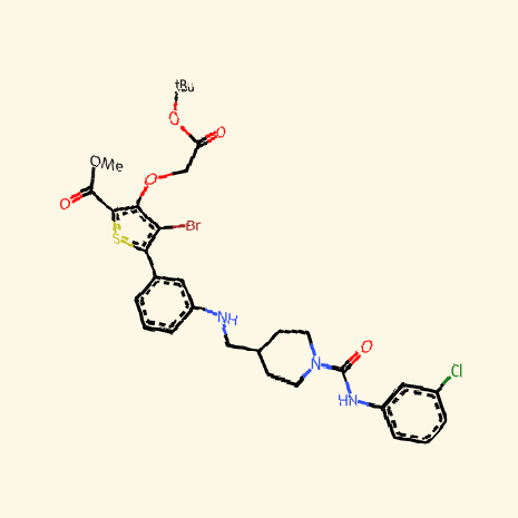 COC(=O)c1sc(-c2cccc(NCC3CCN(C(=O)Nc4cccc(Cl)c4)CC3)c2)c(Br)c1OCC(=O)OC(C)(C)C